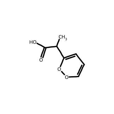 CC(C(=O)O)C1=CC=COO1